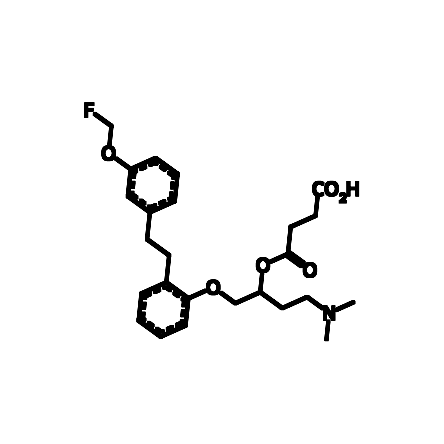 CN(C)CCC(COc1ccccc1CCc1cccc(OCF)c1)OC(=O)CCC(=O)O